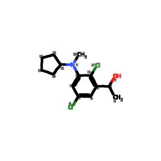 CC(O)c1cc(Cl)cc(N(C)C2CCCC2)c1Cl